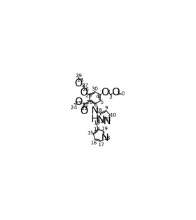 COCOc1cc(Nc2ccnn2Cc2cccnc2)c(C(=O)OC)c(OCOC)c1